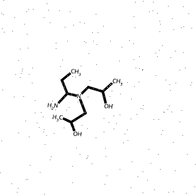 CCC(N)N(CC(C)O)CC(C)O